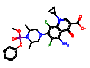 COP(=O)(Oc1ccccc1)N1C(C)CN(c2c(F)c(N)c3c(=O)c(C(=O)O)cn(C4CC4)c3c2F)CC1C